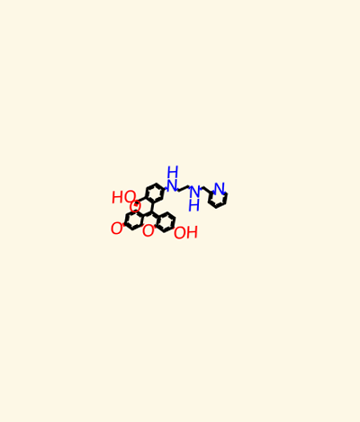 O=C(O)c1ccc(NCCNCc2ccccn2)cc1-c1c2ccc(=O)cc-2oc2cc(O)ccc12